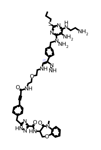 CCCSc1nc(NCCN)c(N)c(N(N)Cc2ccc(/C(=C/NCCOCCNC(=O)C#Cc3ccc(Cc4nc(C(=O)NC5COc6ccccc6N(C)C5=O)n[nH]4)cc3)N=N)cc2)n1